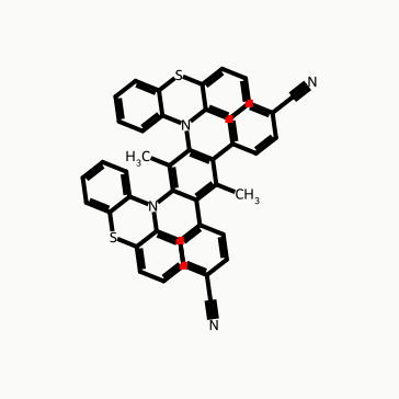 Cc1c(-c2ccc(C#N)cc2)c(N2c3ccccc3Sc3ccccc32)c(C)c(N2c3ccccc3Sc3ccccc32)c1-c1ccc(C#N)cc1